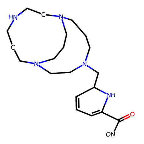 O=NC(=O)C1=CC=CC(CN2CCCN3CCCN(CCCNCC3)CC2)N1